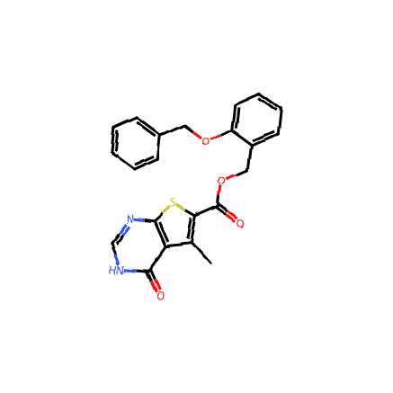 Cc1c(C(=O)OCc2ccccc2OCc2ccccc2)sc2nc[nH]c(=O)c12